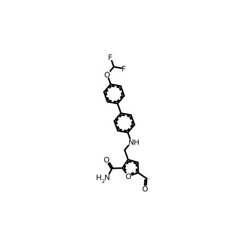 NC(=O)c1oc([C]=O)cc1CNc1ccc(-c2ccc(OC(F)F)cc2)cc1